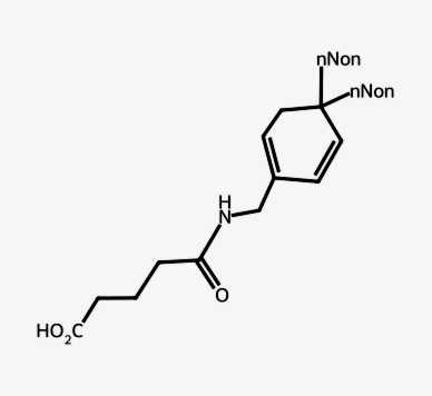 CCCCCCCCCC1(CCCCCCCCC)C=CC(CNC(=O)CCCC(=O)O)=CC1